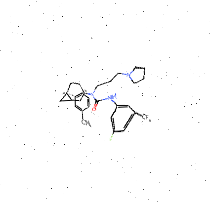 N#Cc1cccc([C@]23CC[C@@H](N(CCCN4CCCC4)C(=O)Nc4cc(F)cc(C(F)(F)F)c4)CC2C3)c1